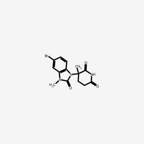 Cn1c(=O)n(C2(C)CCC(=O)NC2=O)c2ccc(Br)cc21